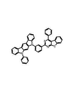 c1ccc(-c2nc(-c3cccc(-n4c5ccccc5c5cc6c7ccccc7n(-c7ccccc7)c6cc54)c3)nc3sc4ccccc4c23)cc1